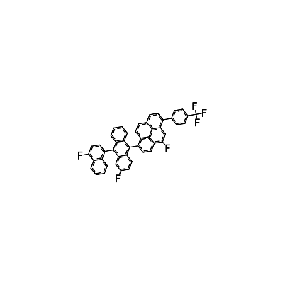 Fc1ccc2c(-c3ccc4c(F)cc5c(-c6ccc(C(F)(F)F)cc6)ccc6ccc3c4c65)c3ccccc3c(-c3ccc(F)c4ccccc34)c2c1